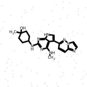 CNc1nc(NC2CCC(C)(O)CC2)nc2[nH]cc(-c3ccc4nccn4n3)c12